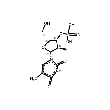 Cc1cn([C@@H]2O[C@H](CO)[C@@H](OP(O)(O)=S)[C@H]2F)c(=O)[nH]c1=O